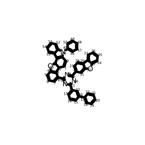 C1=CC2c3c(cccc3-c3nc(-c4cccc(-c5ccccc5)c4)nc(-c4ccc5c(c4)oc4ccccc45)n3)OC2c2c1n(-c1ccccc1)c1ccccc21